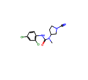 CN(C(=O)Nc1ccc(Cl)cc1Cl)C1CCN(C#N)C1